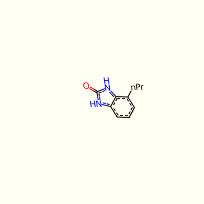 CCCc1cccc2[nH]c(=O)[nH]c12